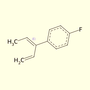 C=C/C(=C\C)c1ccc(F)cc1